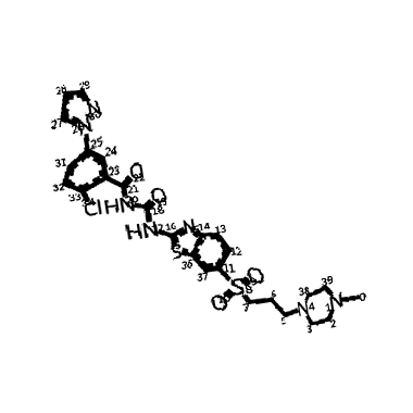 CN1CCN(CCCS(=O)(=O)c2ccc3nc(NC(=O)NC(=O)c4cc(-n5cccn5)ccc4Cl)sc3c2)CC1